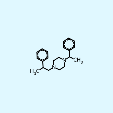 CC(CN1CCN(C(C)c2ccccc2)CC1)c1ccccc1